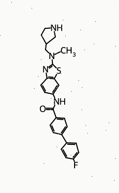 CN(CC1CCNC1)c1nc2ccc(NC(=O)c3ccc(-c4ccc(F)cc4)cc3)cc2s1